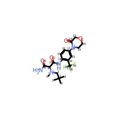 CN(CC(C)(C)C)[C@@H](C(N)=O)C(=O)Nc1ccc(N2CCOCC2=O)cc1C(F)(F)F